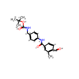 Cc1cc(C(=O)Nc2ccc(CNC(=O)OC(C)(C)C)cc2)ccc1C=O